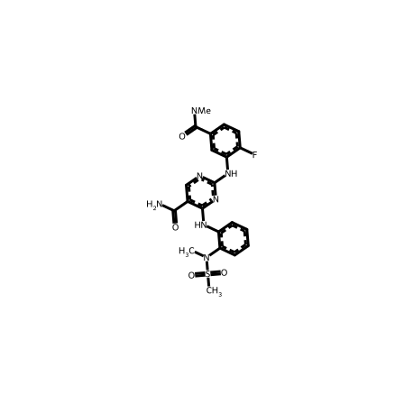 CNC(=O)c1ccc(F)c(Nc2ncc(C(N)=O)c(Nc3ccccc3N(C)S(C)(=O)=O)n2)c1